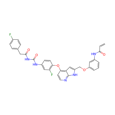 C=CC(=O)Nc1cccc(OCc2cc3c(Oc4ccc(NC(=O)NC(=O)Cc5ccc(F)cc5)cc4F)ccnc3[nH]2)c1